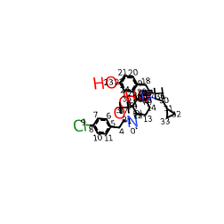 CN(C(=O)Cc1ccc(Cl)cc1)[C@@H]1CC[C@@]2(O)[C@H]3Cc4ccc(O)c5c4[C@@]2(CCN3CC2CC2)[C@H]1O5